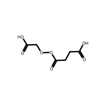 O=C(O)CCC(=O)OOCC(=O)O